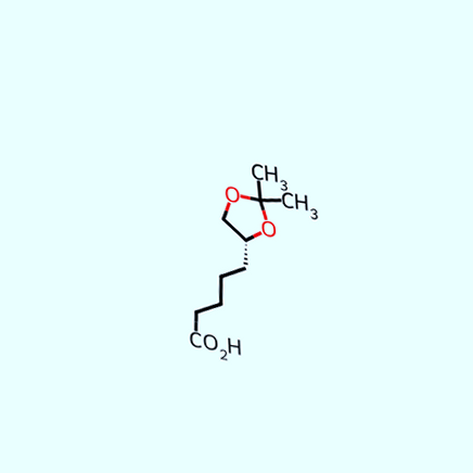 CC1(C)OC[C@@H](CCCCC(=O)O)O1